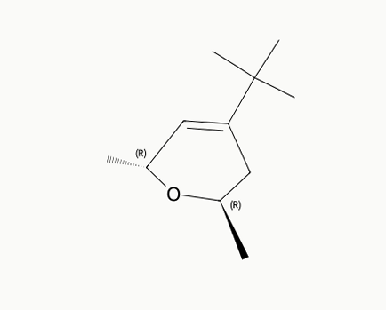 C[C@@H]1C=C(C(C)(C)C)C[C@@H](C)O1